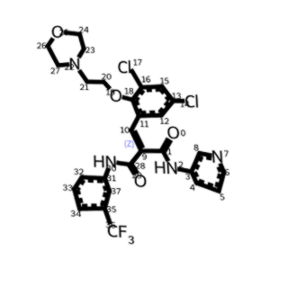 O=C(Nc1cccnc1)/C(=C\c1cc(Cl)cc(Cl)c1OCCN1CCOCC1)C(=O)Nc1cccc(C(F)(F)F)c1